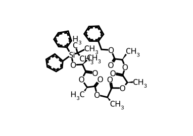 C[C@H](O[Si](c1ccccc1)(c1ccccc1)C(C)(C)C)C(=O)O[C@H](C)C(=O)O[C@H](C)C(=O)O[C@H](C)C(=O)O[C@H](C)C(=O)OCc1ccccc1